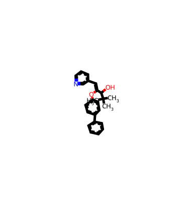 CC(C)(C)C(O)C(=Cc1cccnc1)Oc1ccc(-c2ccccc2)cc1